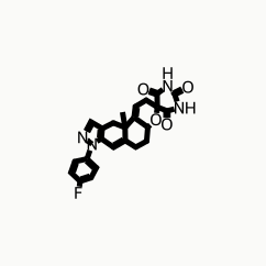 CC12Cc3cnn(-c4ccc(F)cc4)c3C=C1CCC1OC3(CC=C12)C(=O)NC(=O)NC3=O